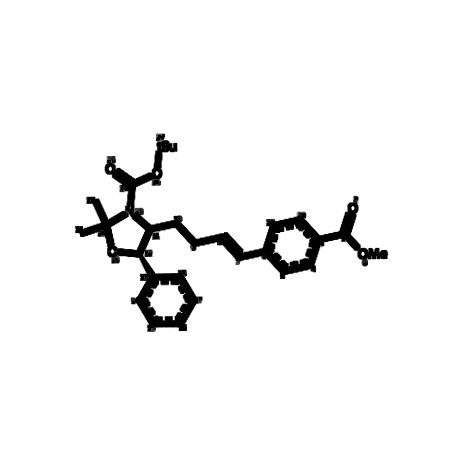 COC(=O)c1ccc(C=CCCC2[C@@H](c3ccccc3)OC(C)(C)N2C(=O)OC(C)(C)C)cc1